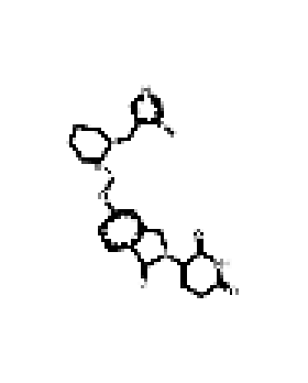 Cn1cncc1CN1CCCC[C@H]1COc1ccc2c(c1)CN(C1CCC(=O)NC1=O)C2=O